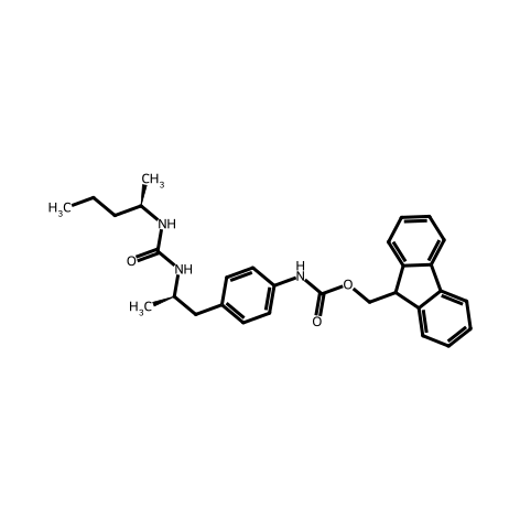 CCC[C@@H](C)NC(=O)N[C@H](C)Cc1ccc(NC(=O)OCC2c3ccccc3-c3ccccc32)cc1